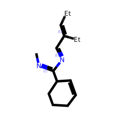 CC/C=C(/C=N/C(=N\C)C1C=CCCC1)CC